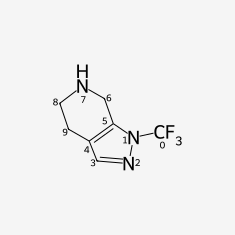 FC(F)(F)n1ncc2c1CNCC2